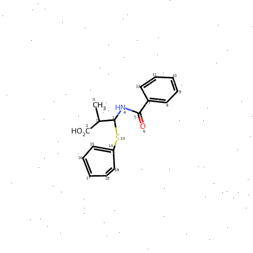 CC(C(=O)O)C(NC(=O)c1ccccc1)Sc1ccccc1